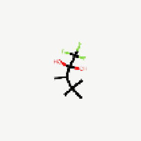 C[C@H](C(C)(C)C)C(O)(O)C(F)(F)F